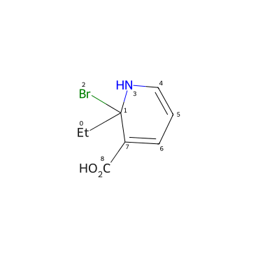 CCC1(Br)NC=CC=C1C(=O)O